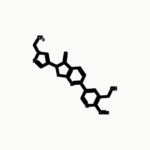 COc1ncc(-c2ccc3c(n2)CN(c2cnn(CC(F)(F)F)c2)C3=O)cc1CO